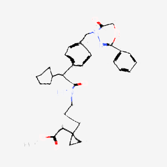 COC(=O)CC1(CCCNC(=O)C(c2ccc(CN3N=C(c4ccccc4)OCC3=O)cc2)C2CCCC2)CC1